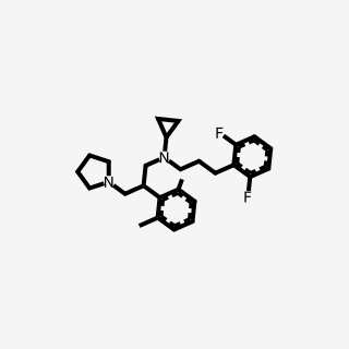 Cc1cccc(C)c1C(CN1CCCC1)CN(CCCc1c(F)cccc1F)C1CC1